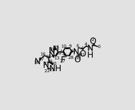 CC(=O)NCC1CN(c2ccc(-c3cn(C(CC#N)c4c[nH]cn4)nn3)c(F)c2)C(=O)O1